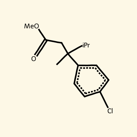 COC(=O)CC(C)(c1ccc(Cl)cc1)C(C)C